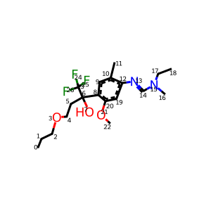 CCCOCCC(O)(c1cc(C)c(N=CN(C)CC)cc1OC)C(F)(F)F